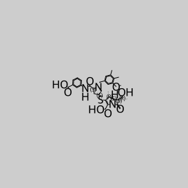 COc1cc(CN2C[C@@H](SC3=C(C(=O)O)N4C(=O)[C@H]([C@@H](C)O)[C@H]4[C@H]3C)C[C@H]2C(=O)Nc2cccc(C(=O)O)c2)cc(C)c1C